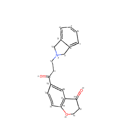 O=C(CCN1Cc2ccccc2C1)c1ccc2c(c1)C(=O)CCO2